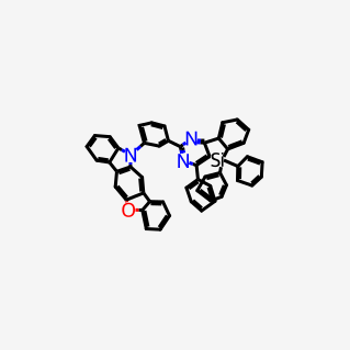 c1ccc(-c2nc(-c3cccc(-n4c5ccccc5c5cc6oc7ccccc7c6cc54)c3)nc3c2[Si](c2ccccc2)(c2ccccc2)c2ccccc2-3)cc1